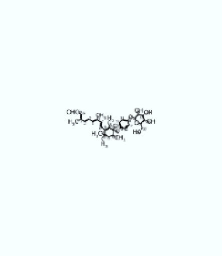 CC(C=CC=C(C)C=CC1=C(C)C(C)(Oc2ccc(O[C@@H]3O[C@H](CO)[C@@H](O)[C@H](O)[C@H]3O)cc2)C(C)CC1(C)C)=CC=O